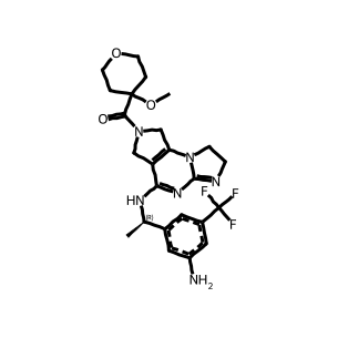 COC1(C(=O)N2CC3=C(C2)N2CCN=C2N=C3N[C@H](C)c2cc(N)cc(C(F)(F)F)c2)CCOCC1